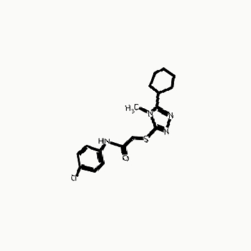 Cn1c(SCC(=O)Nc2ccc(Cl)cc2)nnc1C1CCCCC1